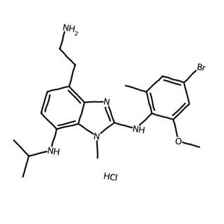 COc1cc(Br)cc(C)c1Nc1nc2c(CCN)ccc(NC(C)C)c2n1C.Cl